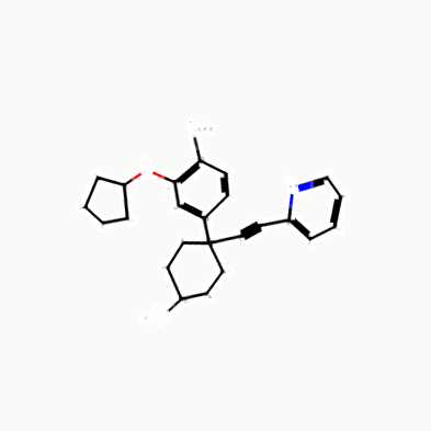 COc1ccc(C2(C#Cc3ccccn3)CCC(C(=O)O)CC2)cc1OC1CCCC1